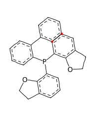 c1ccc(-c2ccccc2P(c2cccc3c2OCC3)c2cccc3c2OCC3)cc1